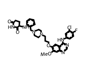 COc1cc2ncnc(Nc3ccc(F)c(Cl)c3)c2cc1OCCCN1CCN(Cc2ccccc2NC2CCC(=O)NC2=O)CC1